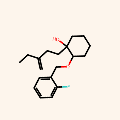 C=C(CC)CCC1(O)CCCCC1OCc1ccccc1F